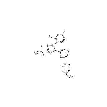 CSc1ccc(-c2cccc(C3CC(C(F)(F)C(F)(F)F)=NN3c3ccc(F)cc3F)c2)cc1